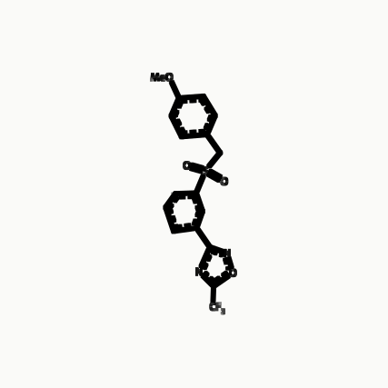 COc1ccc(CS(=O)(=O)c2[c]ccc(-c3noc(C(F)(F)F)n3)c2)cc1